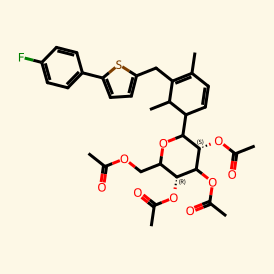 CC(=O)OCC1OC(C2C=CC(C)=C(Cc3ccc(-c4ccc(F)cc4)s3)C2C)[C@H](OC(C)=O)C(OC(C)=O)[C@@H]1OC(C)=O